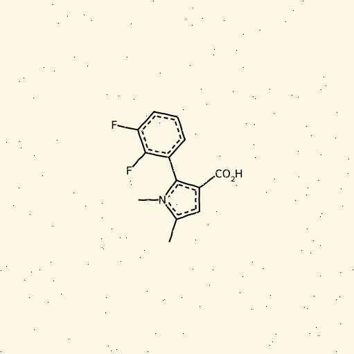 Cc1cc(C(=O)O)c(-c2cccc(F)c2F)n1C